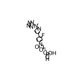 CN(c1ccc(-c2ccc(N3C[C@H](CO[PH](=O)O)OC3=O)cc2F)cn1)c1nnnn1C